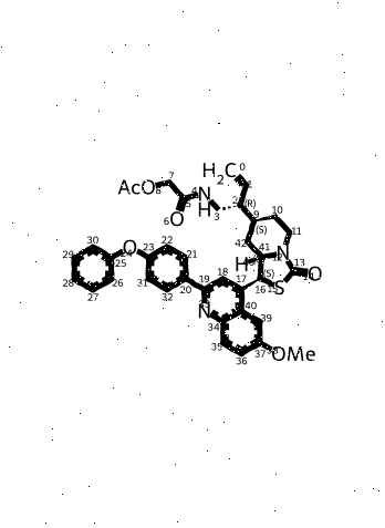 C=C[C@@H](CNC(=O)COC(C)=O)[C@H]1CCN2C(=O)S[C@@H](c3cc(-c4ccc(Oc5ccccc5)cc4)nc4ccc(OC)cc34)[C@@H]2C1